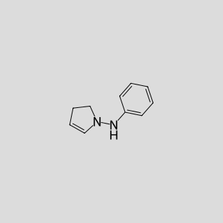 C1=CN(Nc2ccccc2)CC1